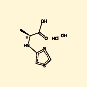 C[C@H](Nc1cscn1)C(=O)O.Cl.Cl